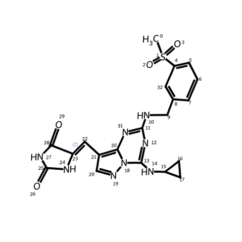 CS(=O)(=O)c1cccc(CNc2nc(NC3CC3)n3ncc(/C=C4\NC(=O)NC4=O)c3n2)c1